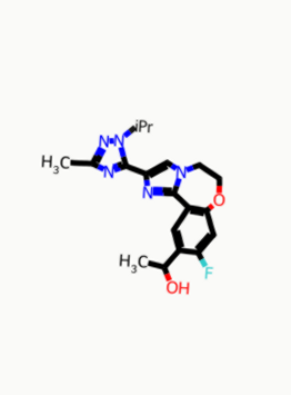 Cc1nc(-c2cn3c(n2)-c2cc(C(C)O)c(F)cc2OCC3)n(C(C)C)n1